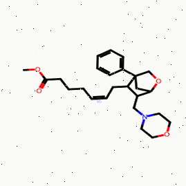 COC(=O)CCC/C=C\CC1C(CN2CCOCC2)C2CC1(c1ccccc1)CO2